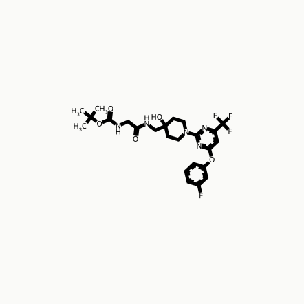 CC(C)(C)OC(=O)NCC(=O)NCC1(O)CCN(c2nc(Oc3cccc(F)c3)cc(C(F)(F)F)n2)CC1